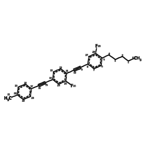 CCCCCc1ccc(C#Cc2ccc(C#Cc3ccc(C)cc3)cc2F)cc1F